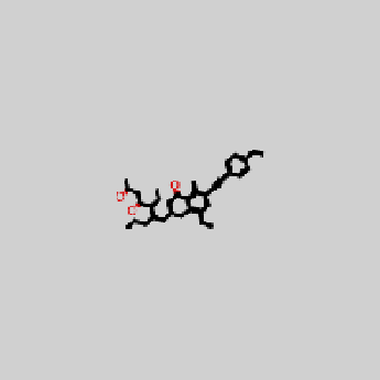 CCCC(CC1CC(=O)c2c(C)c(C#Cc3ccc(CC)cc3)cc(CC)c2C1)C(CC)C(=O)CC(C)=O